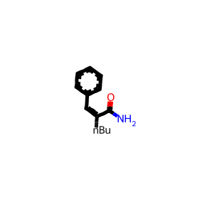 CCCC/C(=C/c1ccccc1)C(N)=O